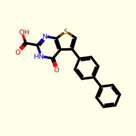 O=C(O)c1nc2scc(-c3ccc(-c4ccccc4)cc3)c2c(=O)[nH]1